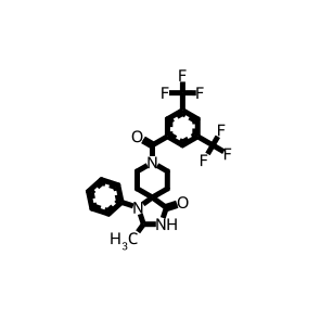 CC1NC(=O)C2(CCN(C(=O)c3cc(C(F)(F)F)cc(C(F)(F)F)c3)CC2)N1c1ccccc1